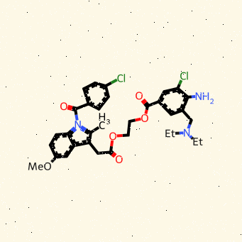 CCN(CC)Cc1cc(C(=O)OCCOC(=O)Cc2c(C)n(C(=O)c3ccc(Cl)cc3)c3ccc(OC)cc23)cc(Cl)c1N